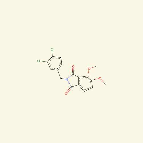 COc1ccc2c(c1OC)C(=O)N(Cc1ccc(Cl)c(Cl)c1)C2=O